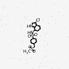 CS(=O)(=O)Cc1ccc(S(=O)(=O)Nc2cccc3c(Cl)c[nH]c23)cc1